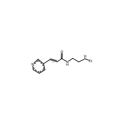 CCNCCNC(=O)/C=C/c1cccnc1